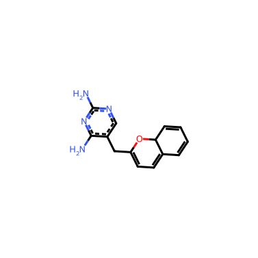 Nc1ncc(CC2=CC=C3C=CC=CC3O2)c(N)n1